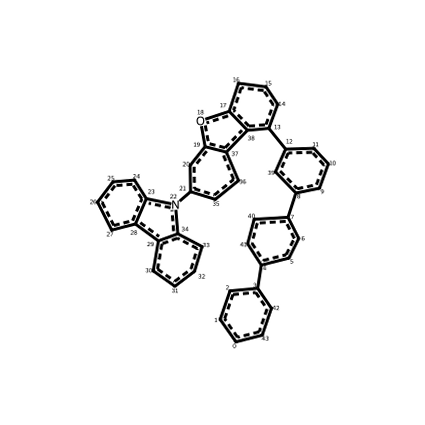 c1ccc(-c2ccc(-c3cccc(-c4cccc5oc6cc(-n7c8ccccc8c8ccccc87)ccc6c45)c3)cc2)cc1